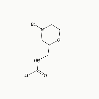 CCC(=O)NCC1CN(CC)CCO1